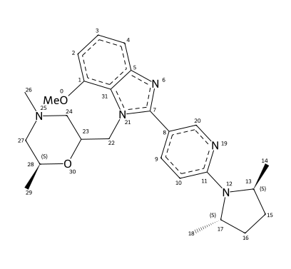 COc1cccc2nc(-c3ccc(N4[C@@H](C)CC[C@@H]4C)nc3)n(CC3CN(C)C[C@H](C)O3)c12